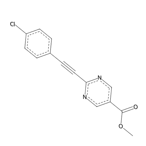 COC(=O)c1cnc(C#Cc2ccc(Cl)cc2)nc1